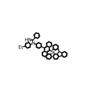 CCc1ccc2c(c1)NC(c1ccccc1)N2c1ccc(-c2c3ccccc3c([Si]3(c4ccccc4)c4cccc(c4)C4c5ccccc5-c5cccc3c54)c3ccccc23)cc1